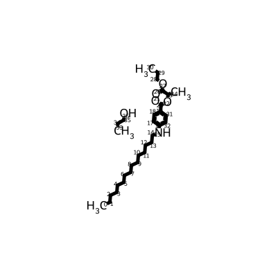 CCCCCCCCCCCCCCCNc1ccc(C(=O)OC(C)C(=O)OCCC)cc1.CCCO